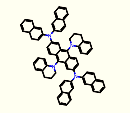 C1=CC2=CC(N(c3ccc4ccccc4c3)c3ccc4c(N5CCCc6ccccc65)c5cc(N(c6ccc7ccccc7c6)c6ccc7ccccc7c6)ccc5c(N5CCCc6ccccc65)c4c3)=CCC2C=C1